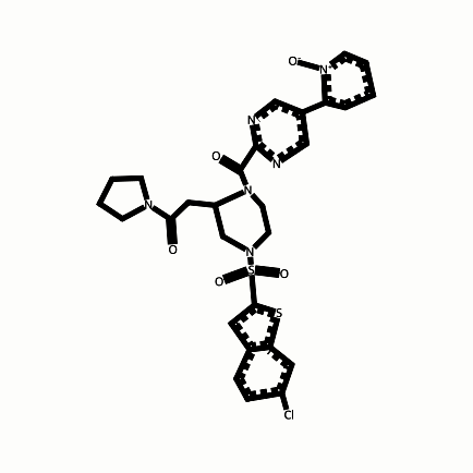 O=C(CC1CN(S(=O)(=O)c2cc3ccc(Cl)cc3s2)CCN1C(=O)c1ncc(-c2cccc[n+]2[O-])cn1)N1CCCC1